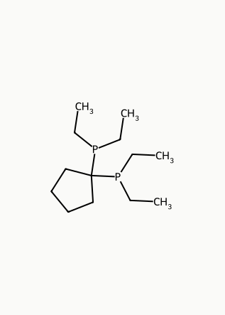 CCP(CC)C1(P(CC)CC)CCCC1